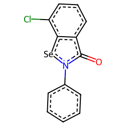 O=c1c2cccc(Cl)c2[se]n1-c1ccccc1